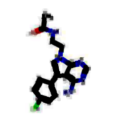 CC(=O)NCCn1cc(-c2ccc(Cl)cc2)c2c(N)ncnc21